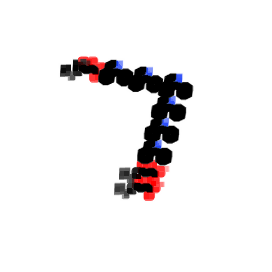 CC(=O)CC(=O)C(=O)[O-].CC(=O)CC(=O)C(=O)[O-].CC(=O)CC(=O)C(=O)[O-].[Ir+3].c1ccc(-c2nccc3ccccc23)cc1.c1ccc(-c2nccc3ccccc23)cc1.c1ccc(-c2nccc3ccccc23)cc1.c1ccc(-c2nccc3ccccc23)cc1.c1ccc(-c2nccc3ccccc23)cc1.c1ccc(-c2nccc3ccccc23)cc1